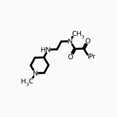 CC(C)C(=O)C(=O)N(C)CCNC1CCN(C)CC1